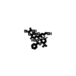 CC[C@@H](OC(=O)[C@H](C)[C@@H](O)[C@H](C)[C@@H](OC1O[C@H](C)C[C@H](N(C)C)[C@H]1OC(=O)c1ccccc1)[C@@](C)(C[C@@H](C)CO)OC)C(C)O